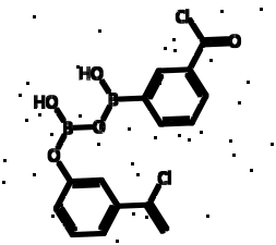 C=C(Cl)c1cccc(OB(O)OB(O)c2cccc(C(=O)Cl)c2)c1